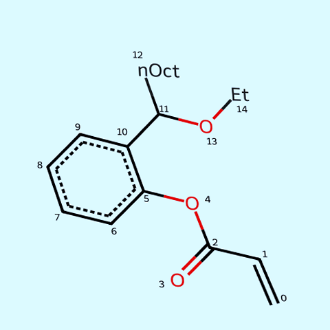 C=CC(=O)Oc1ccccc1C(CCCCCCCC)OCC